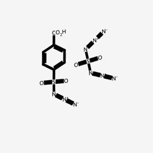 [N-]=[N+]=NS(=O)(=O)N=[N+]=[N-].[N-]=[N+]=NS(=O)(=O)c1ccc(C(=O)O)cc1